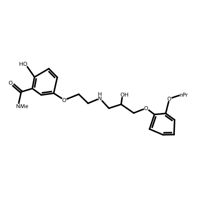 CCCOc1ccccc1OCC(O)CNCCOc1ccc(O)c(C(=O)NC)c1